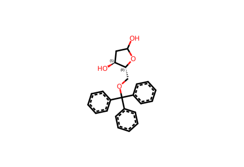 OC1C[C@H](O)[C@@H](COC(c2ccccc2)(c2ccccc2)c2ccccc2)O1